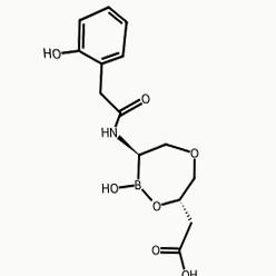 O=C(O)C[C@H]1COC[C@H](NC(=O)Cc2ccccc2O)B(O)O1